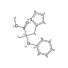 COC(=O)C(C)(Cc1cccs1)Oc1ccccc1